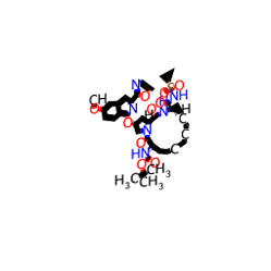 COc1ccc2c(O[C@@H]3C[C@H]4C(=O)N[C@]5(C(=O)NS(=O)(=O)C6CC6)C[C@H]5CCCCCCC[C@H](NC(=O)OC(C)(C)C)C(=O)N4C3)nc(-c3ncco3)cc2c1